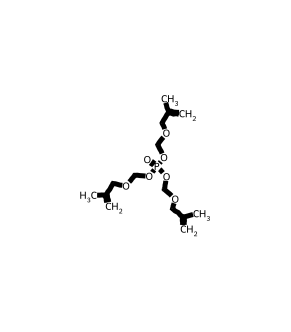 C=C(C)COCOP(=O)(OCOCC(=C)C)OCOCC(=C)C